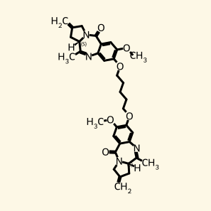 C=C1C[C@H]2C(C)=Nc3cc(OCCCCCOc4cc5c(cc4OC)C(=O)N4CC(=C)C[C@H]4C(C)=N5)c(OC)cc3C(=O)N2C1